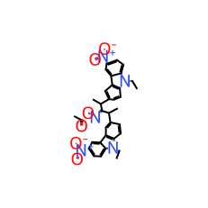 CCn1c2ccc(C(C)C(=NOC(C)=O)C(C)c3ccc4c(c3)c3cc([N+](=O)[O-])ccc3n4CC)cc2c2cc([N+](=O)[O-])ccc21